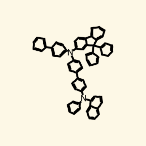 C1=CCCC(C2(c3ccccc3)c3ccccc3-c3ccc(N(c4ccc(-c5ccccc5)cc4)c4ccc(-c5ccc(N(c6ccccc6)c6cccc7ccccc67)cc5)cc4)cc32)=C1